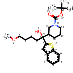 COCCCC[C@@](O)(c1cc2ccccc2s1)C1CCCN(C(=O)OC(C)(C)C)C1